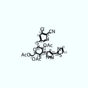 CC(=O)OC[C@H]1O[C@H](Sc2cnc(C#N)c(Cl)c2)[C@H](OC(C)=O)[C@@H](n2cc(-c3nccs3)nn2)[C@H]1OC(C)=O